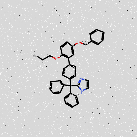 CC(C)(C)CCOc1ccc(OCc2ccccc2)cc1-c1ccc(C(c2ccccc2)(c2ccccc2)c2ncc[nH]2)cc1